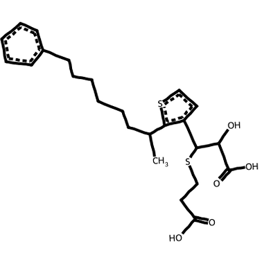 CC(CCCCCCc1ccccc1)c1sccc1C(SCCC(=O)O)C(O)C(=O)O